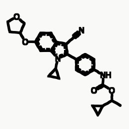 CC(OC(=O)Nc1ccc(-c2c(C#N)c3ccc(OC4CCOC4)cc3n2C2CC2)cc1)C1CC1